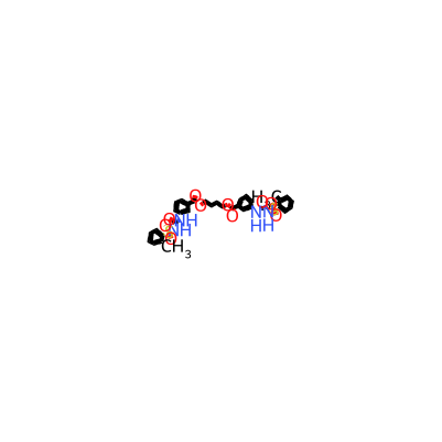 Cc1ccccc1S(=O)(=O)NC(=O)Nc1cccc(C(=O)OCCCCOC(=O)c2cccc(NC(=O)NS(=O)(=O)c3ccccc3C)c2)c1